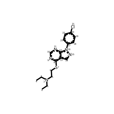 CCN(CC)CCSc1ncnc2c1cnn2-c1ccc(Cl)cc1